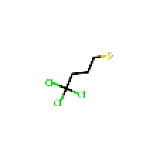 [S]CCCC(Cl)(Cl)Cl